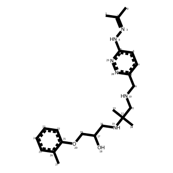 CC(C)=NNc1ccc(CNCC(C)(C)NCC(O)COc2ccccc2C)nn1